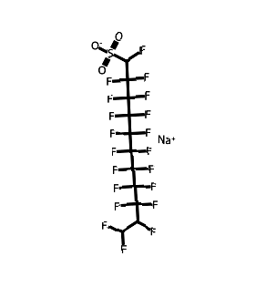 O=S(=O)([O-])C(F)C(F)(F)C(F)(F)C(F)(F)C(F)(F)C(F)(F)C(F)(F)C(F)(F)C(F)(F)C(F)C(F)F.[Na+]